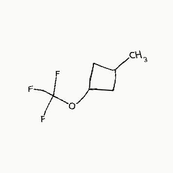 CC1CC(OC(F)(F)F)C1